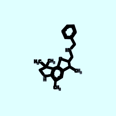 Cc1cc2c(c3c1NCC3(C)C)OC(CNCc1ccccc1)C2C